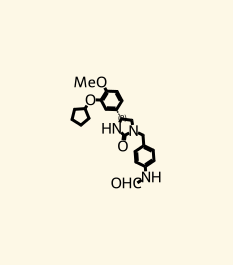 COc1ccc([C@@H]2CN(Cc3ccc(NC=O)cc3)C(=O)N2)cc1OC1CCCC1